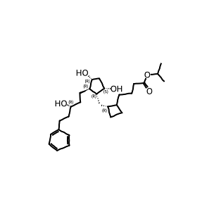 CC(C)OC(=O)CCCC1CC[C@@H]1C[C@@H]1[C@@H](CC[C@@H](O)CCc2ccccc2)[C@H](O)C[C@@H]1O